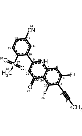 CC#Cc1c(F)cc2[nH]c(-c3cc(C#N)ccc3S(C)(=O)=O)cc(=O)c2c1F